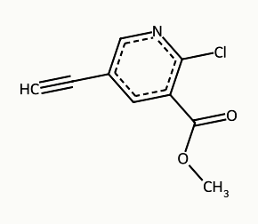 C#Cc1cnc(Cl)c(C(=O)OC)c1